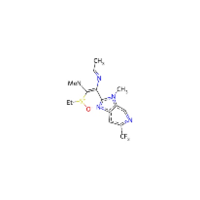 C/C=N/C(=C(\NC)[S+]([O-])CC)c1nc2cc(C(F)(F)F)ncc2n1C